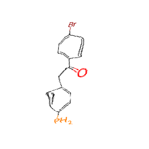 O=C(Cc1ccc(P)cc1)c1ccc(Br)cc1